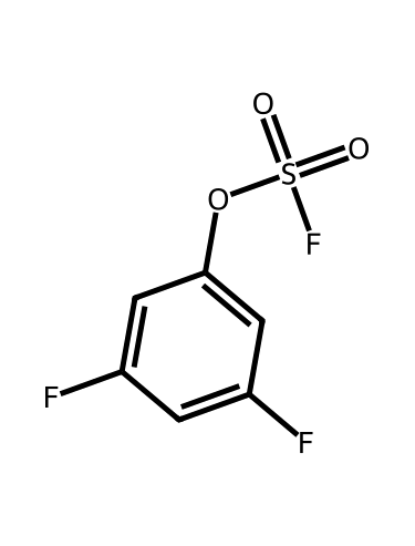 O=S(=O)(F)Oc1cc(F)cc(F)c1